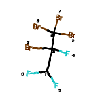 FC(F)C(F)(Br)C(Br)(Br)Br